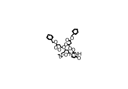 C[N+](C)(C)CC1OC(n2ccc(=O)[nH]c2=O)C(OC(=O)CC(=O)OCc2ccccc2)C1OC(=O)CC(=O)OCc1ccccc1